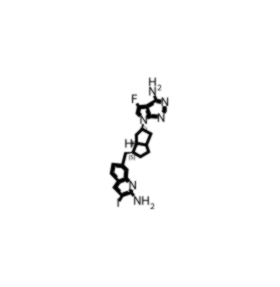 Nc1nc2cc(C[C@@H]3CCC4C[C@H](n5cc(F)c6c(N)ncnc65)C[C@@H]43)ccc2cc1I